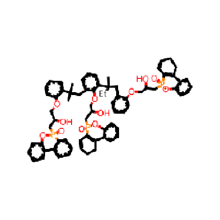 CCC(C)(Cc1ccccc1OCC(O)CP1(=O)Oc2ccccc2C2=C1C=CCC2)c1cccc(CC(C)(C)c2ccccc2OCC(O)CP2(=O)Oc3ccccc3-c3ccccc32)c1OCC(O)CP1(=O)Oc2ccccc2C2=C1C=CCC2